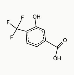 O=C(O)c1ccc(C(F)(F)F)c(O)c1